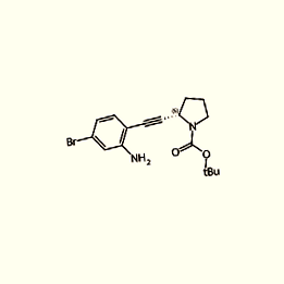 CC(C)(C)OC(=O)N1CCC[C@H]1C#Cc1ccc(Br)cc1N